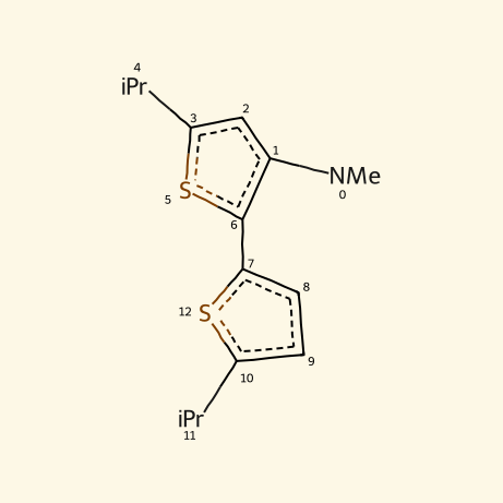 CNc1cc(C(C)C)sc1-c1ccc(C(C)C)s1